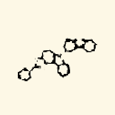 c1ccc(-c2nc3ccc4c(c5ccccc5n4-c4ccc5oc6ccccc6c5c4)c3o2)cc1